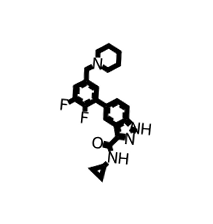 O=C(NC1CC1)c1n[nH]c2ccc(-c3cc(CN4CCCCC4)cc(F)c3F)cc12